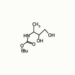 CC(NC(=O)OC(C)(C)C)C(O)CO